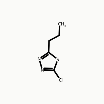 CCCc1nnc(Cl)s1